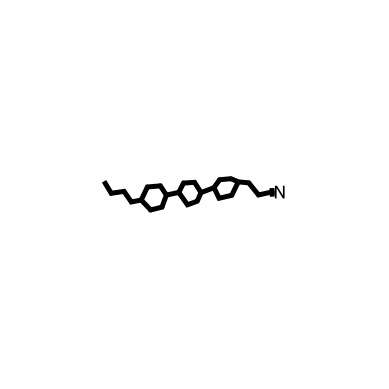 CCCCC1CCC(C2CCC(C3CCC(CCC#N)CC3)CC2)CC1